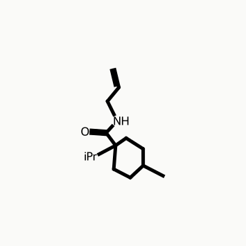 C=CCNC(=O)C1(C(C)C)CCC(C)CC1